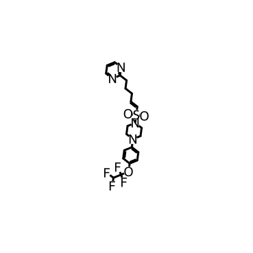 O=S(=O)(C=CCCCc1ncccn1)N1CCN(c2ccc(OC(F)(F)C(F)F)cc2)CC1